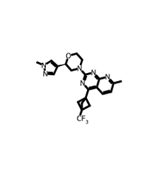 Cc1ccc2c(C34CC(C(F)(F)F)(C3)C4)nc(N3CCO[C@H](c4cnn(C)c4)C3)nc2n1